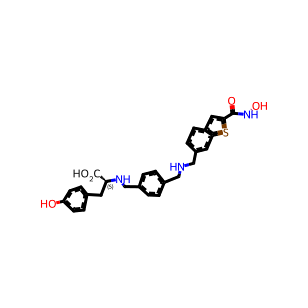 O=C(NO)c1cc2ccc(CNCc3ccc(CN[C@@H](Cc4ccc(O)cc4)C(=O)O)cc3)cc2s1